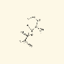 C=C(C)C(=O)NC1CCCCC1O